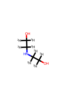 [2H]C([2H])(O)C([2H])([2H])NC([2H])([2H])C([2H])([2H])O